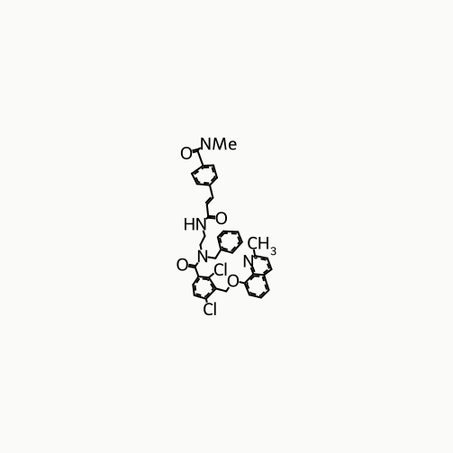 CNC(=O)c1ccc(C=CC(=O)NCCN(Cc2ccccc2)C(=O)c2ccc(Cl)c(COc3cccc4ccc(C)nc34)c2Cl)cc1